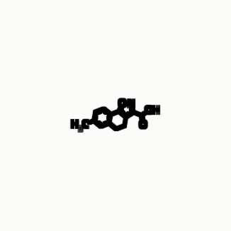 Cc1ccc2c(c1)CCc1c(C(=O)O)noc1-2